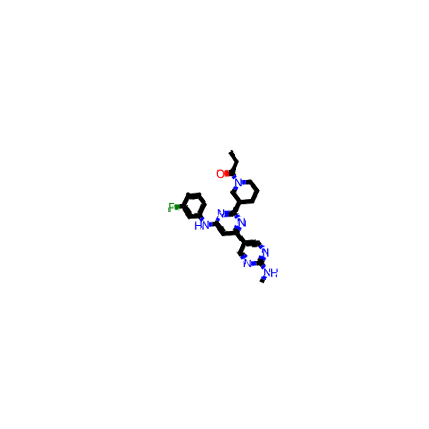 CCC(=O)N1CCCC(c2nc(Nc3cccc(F)c3)cc(-c3cnc(NC)nc3)n2)C1